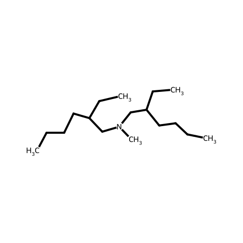 CCCCC(CC)CN(C)CC(CC)CCCC